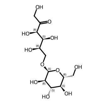 O=C(CO)[C@H](O)[C@@H](O)[C@H](O)CO[C@H]1O[C@H](CO)[C@@H](O)[C@H](O)[C@H]1O